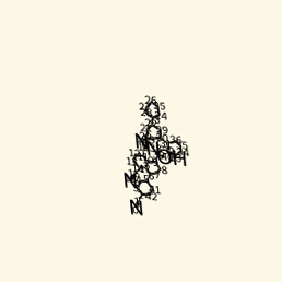 N#Cc1ccc(-c2ccc3c4c(ccc(C#N)c24)-c2nc4cc(-c5ccccc5)cc(-c5ccccc5)c4n2C3O)cc1